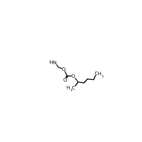 CCCCC(C)OC(=O)OC[NH]